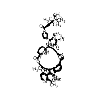 CCn1c(-c2cccnc2[C@H](C)OC)c2c3cc(ccc31)-c1cnc(o1)C[C@H](NC(=O)[C@H](C(C)C)N(C)C(=O)[C@H]1CCN(C(=O)C#CC(C)(C)N(C)C)C1)C(=O)N1CCC[C@H](N1)C(=O)OCC(C)(C)C2